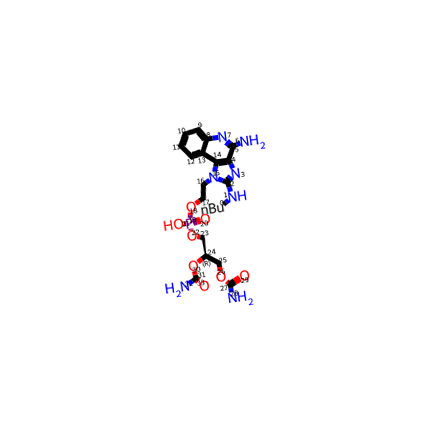 CCCCNc1nc2c(N)nc3ccccc3c2n1CCOP(=O)(O)OC[C@@H](COC(N)=O)OC(N)=O